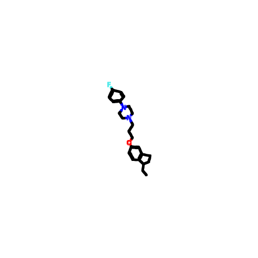 CCC1CCc2cc(OCCCN3CCN(c4ccc(F)cc4)CC3)ccc21